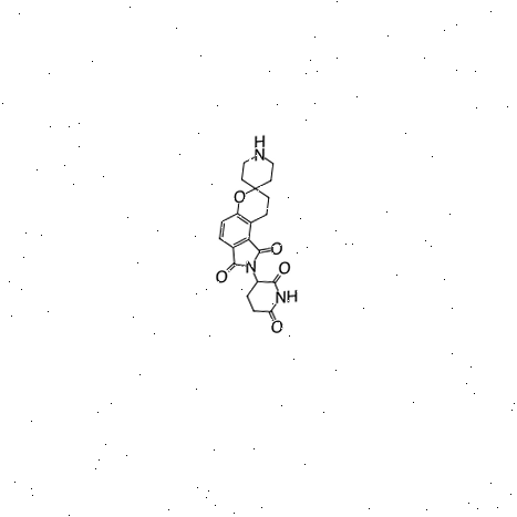 O=C1CCC(N2C(=O)c3ccc4c(c3C2=O)CCC2(CCNCC2)O4)C(=O)N1